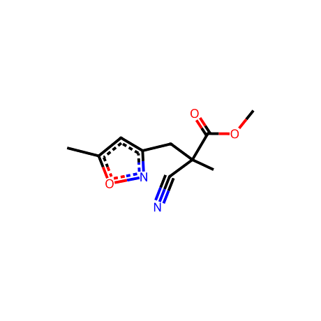 COC(=O)C(C)(C#N)Cc1cc(C)on1